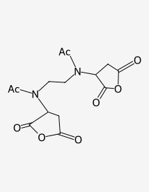 CC(=O)N(CCN(C(C)=O)C1CC(=O)OC1=O)C1CC(=O)OC1=O